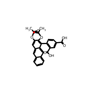 CC(=O)Oc1cc2cc3ccccc3cc2c(-c2ccc(C(=O)O)cc2C(=O)O)c1OC(C)=O